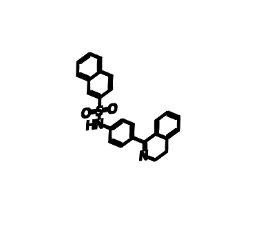 O=S(=O)(Nc1ccc(C2=NCCc3ccccc32)cc1)c1ccc2ccccc2c1